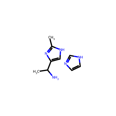 Cc1nc(C(C)N)c[nH]1.c1c[nH]cn1